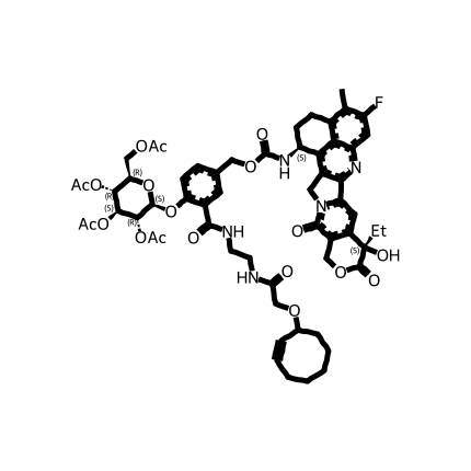 CC[C@@]1(O)C(=O)OCc2c1cc1n(c2=O)Cc2c-1nc1cc(F)c(C)c3c1c2[C@@H](NC(=O)OCc1ccc(O[C@@H]2O[C@H](COC(C)=O)[C@@H](OC(C)=O)[C@H](OC(C)=O)[C@H]2OC(C)=O)c(C(=O)NCCNC(=O)COC2C#CCCCCC2)c1)CC3